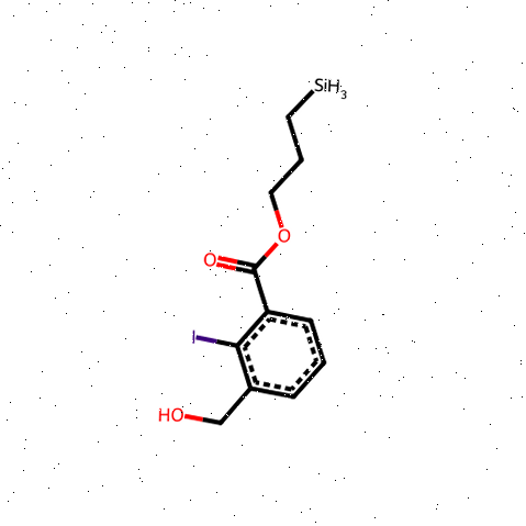 O=C(OCCC[SiH3])c1cccc(CO)c1I